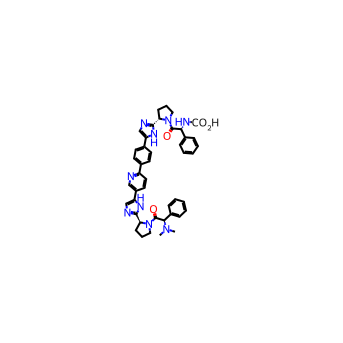 CN(C)[C@@H](C(=O)N1CCC[C@H]1c1ncc(-c2ccc(-c3ccc(-c4cnc([C@@H]5CCCN5C(=O)[C@H](NC(=O)O)c5ccccc5)[nH]4)cc3)nc2)[nH]1)c1ccccc1